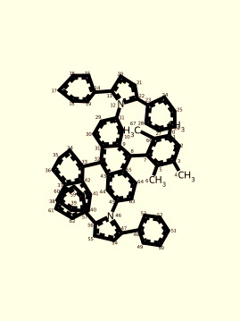 Cc1cc(C)c(C)c(-c2c3cc(-n4c(-c5ccccc5)ccc4-c4ccccc4)ccc3c(-c3cccc4ccccc34)c3cc(-n4c(-c5ccccc5)ccc4-c4ccccc4)ccc23)c1C